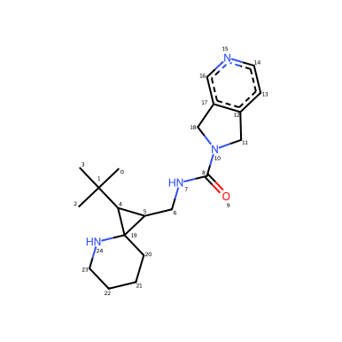 CC(C)(C)C1C(CNC(=O)N2Cc3ccncc3C2)C12CCCCN2